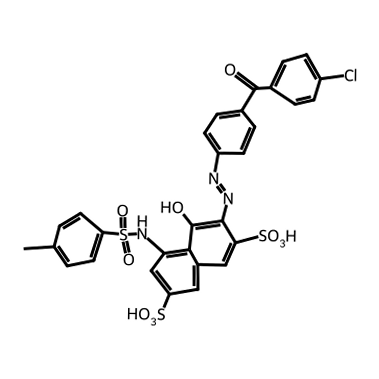 Cc1ccc(S(=O)(=O)Nc2cc(S(=O)(=O)O)cc3cc(S(=O)(=O)O)c(N=Nc4ccc(C(=O)c5ccc(Cl)cc5)cc4)c(O)c23)cc1